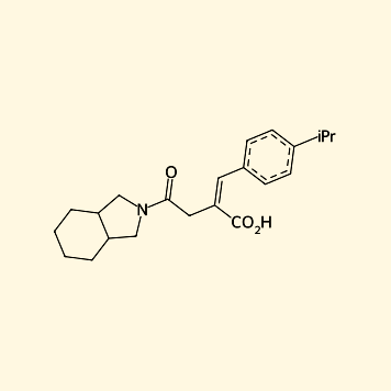 CC(C)c1ccc(C=C(CC(=O)N2CC3CCCCC3C2)C(=O)O)cc1